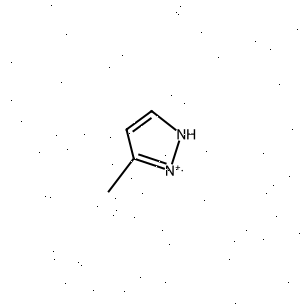 CC1=[N+]NC=C1